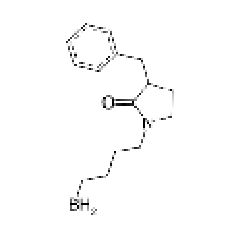 BCCCCN1CCC(Cc2ccccc2)C1=O